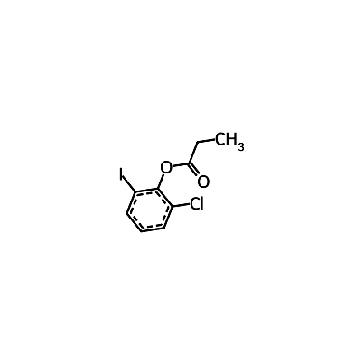 CCC(=O)Oc1c(Cl)cccc1I